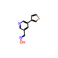 O/N=C/c1cncc(-c2ccsc2)c1